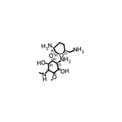 CN[C@H]1[C@@H](O)[C@H](O[C@H]2O[C@H](CN)CC[C@H]2N)[C@@H](N)[C@H](O)[C@@H]1OC